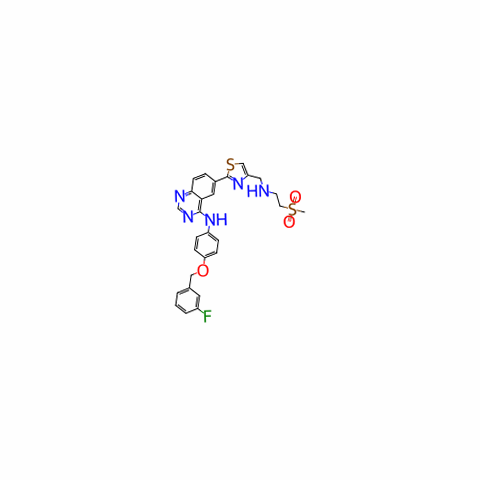 CS(=O)(=O)CCNCc1csc(-c2ccc3ncnc(Nc4ccc(OCc5cccc(F)c5)cc4)c3c2)n1